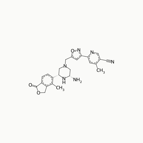 Cc1cc(-c2cc(CN3C[C@@H](c4ccc5c(c4C)COC5=O)N[C@@H](N)C3)on2)ncc1C#N